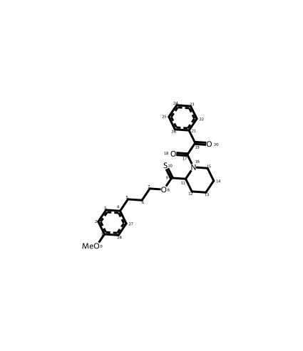 COc1ccc(CCCOC(=S)C2CCCCN2C(=O)C(=O)c2ccccc2)cc1